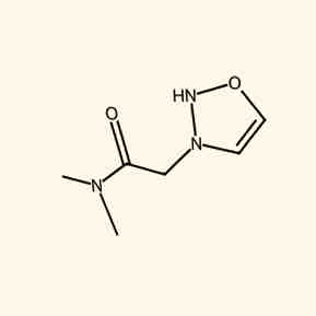 CN(C)C(=O)CN1C=CON1